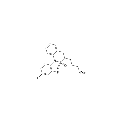 CNCCCC1Cc2ccccc2N(c2ccc(F)cc2F)S1(=O)=O